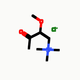 COC(C[N+](C)(C)C)C(C)=O.[Cl-]